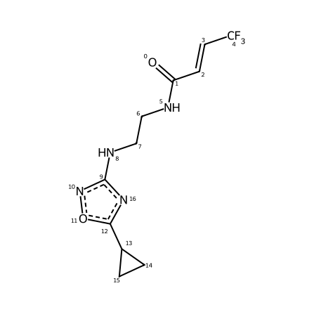 O=C(C=CC(F)(F)F)NCCNc1noc(C2CC2)n1